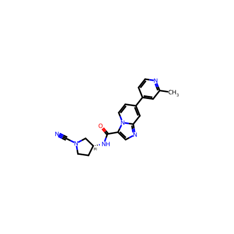 Cc1cc(-c2ccn3c(C(=O)N[C@@H]4CCN(C#N)C4)cnc3c2)ccn1